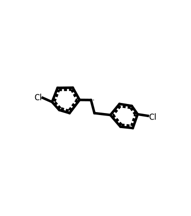 Clc1ccc([CH]Cc2ccc(Cl)cc2)cc1